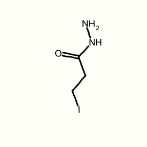 NNC(=O)CCI